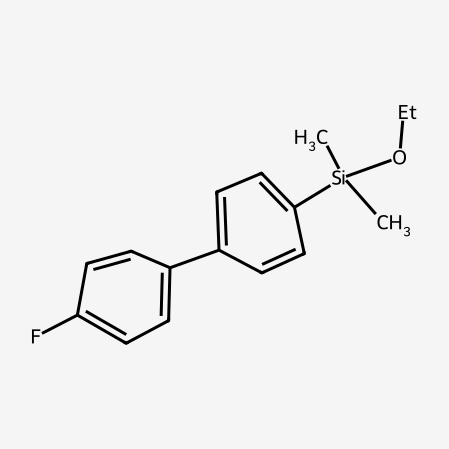 CCO[Si](C)(C)c1ccc(-c2ccc(F)cc2)cc1